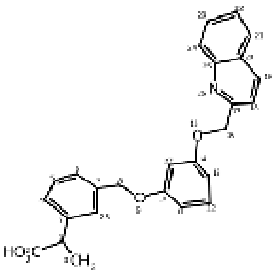 CC(C(=O)O)c1cccc(COc2cccc(OCc3ccc4ccccc4n3)c2)c1